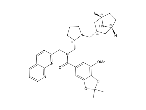 COc1cc(C(=O)N(Cc2ccc3cccnc3n2)C[C@@H]2CCCN2C[C@H]2C[C@H]3CC[C@@H](C2)N3)cc2c1OC(C)(C)O2